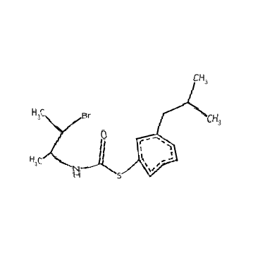 CC(C)Cc1cccc(SC(=O)NC(C)C(C)Br)c1